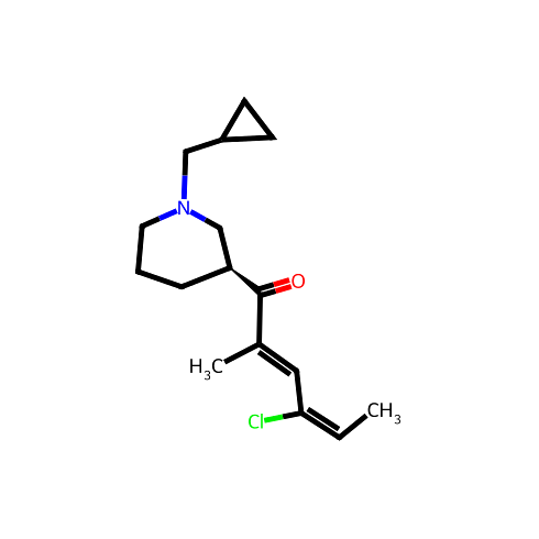 C/C=C(Cl)\C=C(/C)C(=O)[C@H]1CCCN(CC2CC2)C1